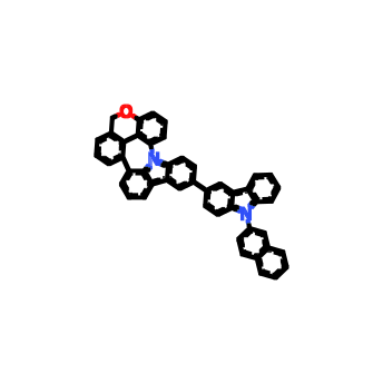 c1cc2c3c(c1)-c1cccc4c5cc(-c6ccc7c(c6)c6ccccc6n7-c6ccc7ccccc7c6)ccc5n(c14)-c1cccc(c1-3)OC2